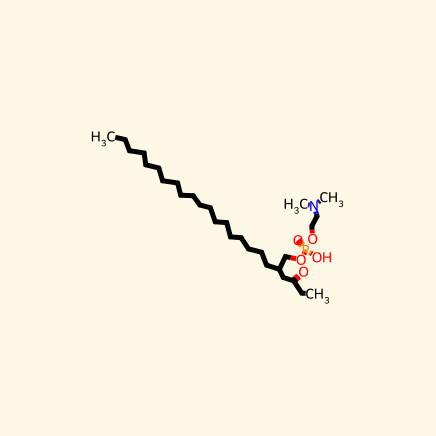 CCCCCCCCCCCCCCCCCCCC(COP(=O)(O)OCCN(C)C)CC(=O)CC